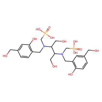 O=P(O)(O)CN(Cc1ccc(CO)cc1O)C(CO)C(CO)N(Cc1cc(CO)ccc1O)CP(=O)(O)O